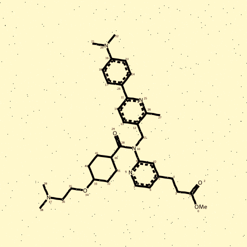 COC(=O)CCc1ccnc(N(Cc2ccc(-c3ccc(N(C)C)cc3)nc2C)C(=O)C2CCC(OCCN(C)C)CC2)c1